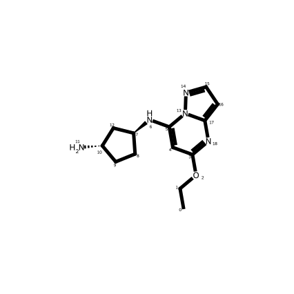 CCOc1cc(N[C@H]2CC[C@H](N)C2)n2nccc2n1